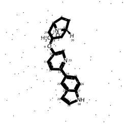 C[N@+]1([O-])C2CC[C@@H]1CC(Oc1ccc(-c3ccc4[nH]ccc4c3)nc1)C2